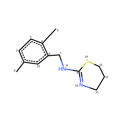 Cc1ccc(C)c(CNC2=NCCCS2)c1